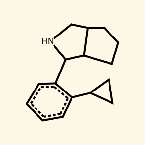 c1ccc(C2NCC3CCCC32)c(C2CC2)c1